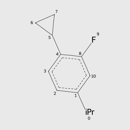 [CH2]C(C)c1ccc(C2CC2)c(F)c1